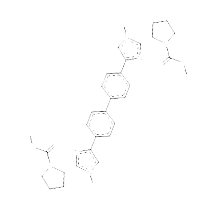 Cn1cc(-c2ccc(-c3ccc(-c4cn(C)c([C@@H]5CCCN5C(=O)OC(C)(C)C)n4)cc3)cc2)nc1[C@@H]1CCCN1C(=O)OC(C)(C)C